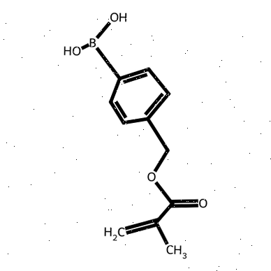 C=C(C)C(=O)OCc1ccc(B(O)O)cc1